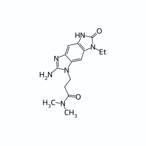 CCn1c(=O)[nH]c2cc3nc(N)n(CCC(=O)N(C)C)c3cc21